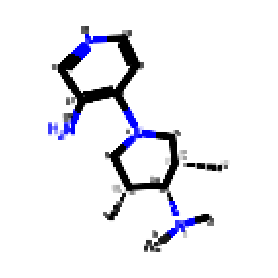 CC(=O)N(C)[C@@H]1[C@H](C)CN(c2ccncc2N)C[C@@H]1C